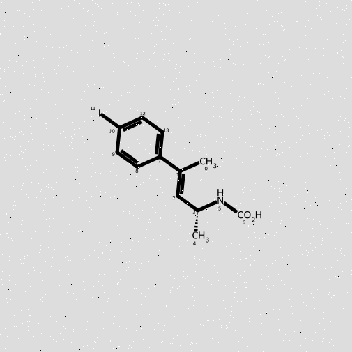 C/C(=C\[C@@H](C)NC(=O)O)c1ccc(I)cc1